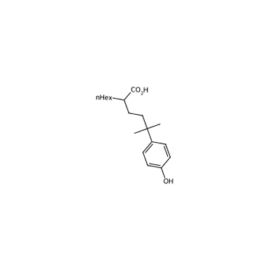 CCCCCCC(CCC(C)(C)c1ccc(O)cc1)C(=O)O